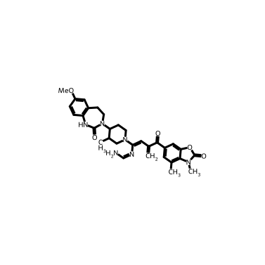 C=C(/C=C(\N=C/N)N1CCC(N2CCc3cc(OC)ccc3NC2=O)C(C)C1)C(=O)c1cc(C)c2c(c1)oc(=O)n2C